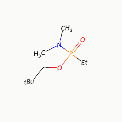 CCP(=O)(OCC(C)(C)C)N(C)C